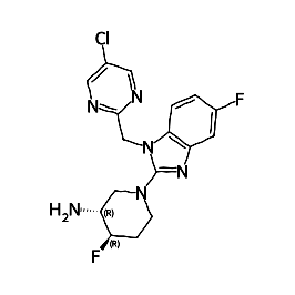 N[C@@H]1CN(c2nc3cc(F)ccc3n2Cc2ncc(Cl)cn2)CC[C@H]1F